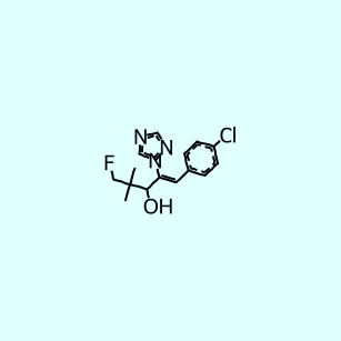 CC(C)(CF)C(O)C(=Cc1ccc(Cl)cc1)n1cncn1